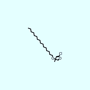 CCCCCCCCCCCCCCCCOC(C)(C=O)C=CCl